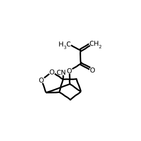 C=C(C)C(=O)OC1C2CC3C1OOC3(C#N)C2